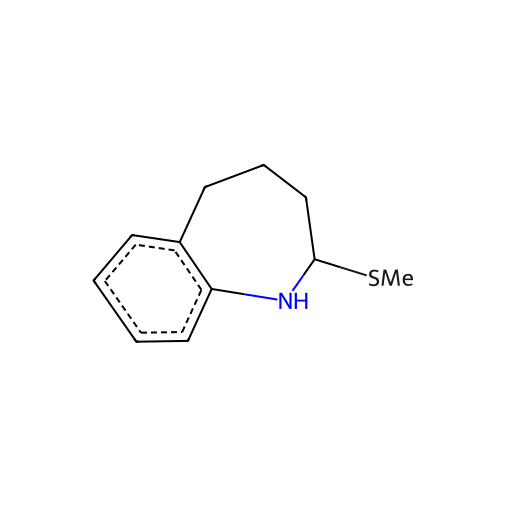 CSC1CCCc2ccccc2N1